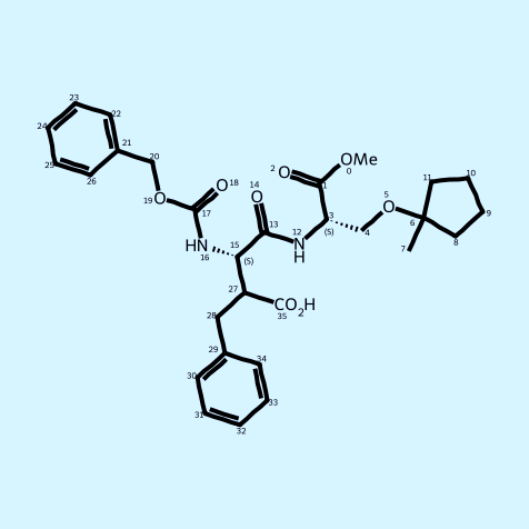 COC(=O)[C@H](COC1(C)CCCC1)NC(=O)[C@@H](NC(=O)OCc1ccccc1)C(Cc1ccccc1)C(=O)O